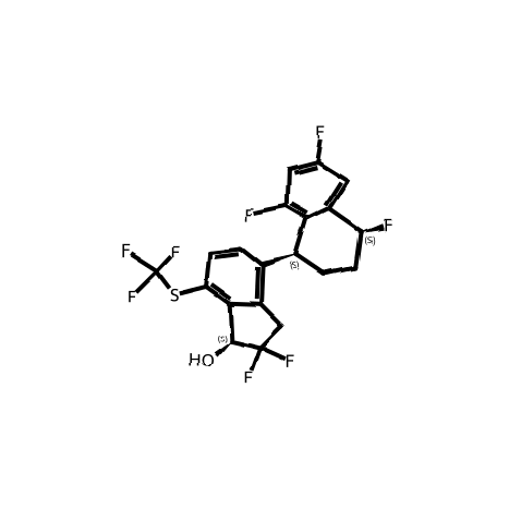 O[C@H]1c2c(SC(F)(F)F)ccc([C@@H]3CC[C@H](F)c4cc(F)cc(F)c43)c2CC1(F)F